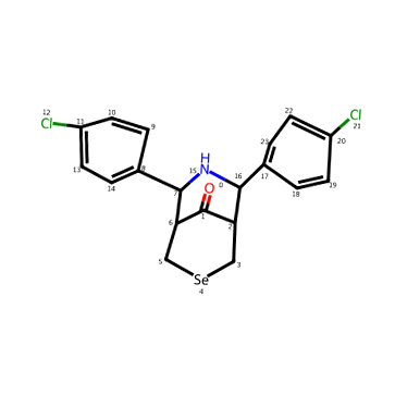 O=C1C2C[Se]CC1C(c1ccc(Cl)cc1)NC2c1ccc(Cl)cc1